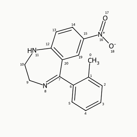 Cc1ccccc1C1=NCCNc2ccc([N+](=O)[O-])cc21